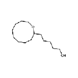 OCCCCCC1CCCCCCCCO1